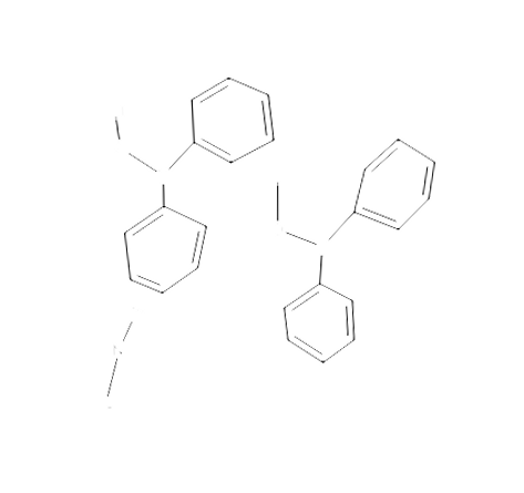 CCOP(c1ccccc1)c1ccccc1.CCOP(c1ccccc1)c1ccccc1.[Br][Ni][Br]